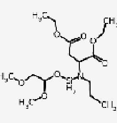 CCCN([SiH2]OC(COC)OC)C(CC(=O)OCC)C(=O)OCC